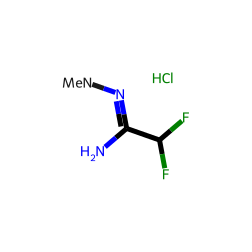 CN/N=C(\N)C(F)F.Cl